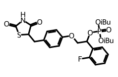 CC(C)COP(=O)(OCC(C)C)OC(COc1ccc(CC2SC(=O)NC2=O)cc1)c1ccccc1F